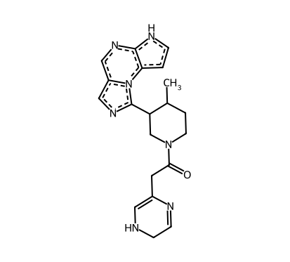 CC1CCN(C(=O)CC2=CNCC=N2)CC1c1ncc2cnc3[nH]ccc3n12